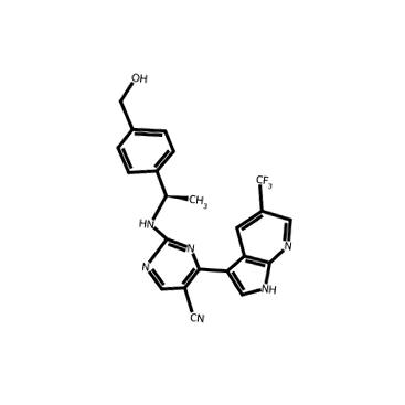 C[C@@H](Nc1ncc(C#N)c(-c2c[nH]c3ncc(C(F)(F)F)cc23)n1)c1ccc(CO)cc1